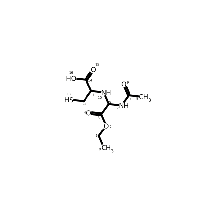 CCOC(=O)C(NC(C)=O)NC(CS)C(=O)O